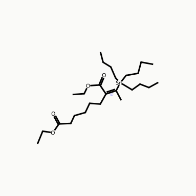 CCC[CH2][Sn]([CH2]CCC)([CH2]CCC)/[C](C)=C(/CCCCCC(=O)OCC)C(=O)OCC